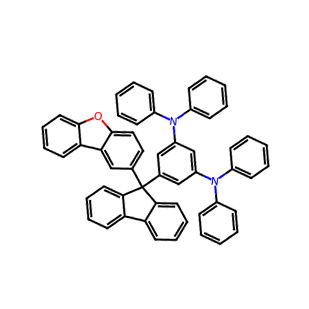 c1ccc(N(c2ccccc2)c2cc(N(c3ccccc3)c3ccccc3)cc(C3(c4ccc5oc6ccccc6c5c4)c4ccccc4-c4ccccc43)c2)cc1